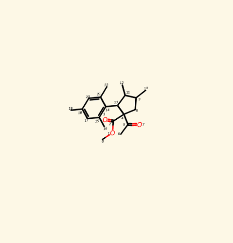 COC(=O)C1(C(C)=O)CC(C)C(C)C1c1c(C)cc(C)cc1C